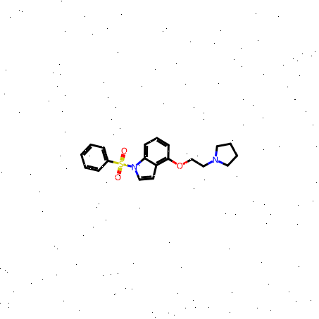 O=S(=O)(c1ccccc1)n1ccc2c(OCCN3CCCC3)cccc21